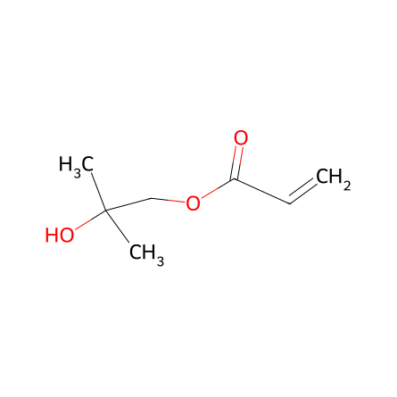 C=CC(=O)OCC(C)(C)O